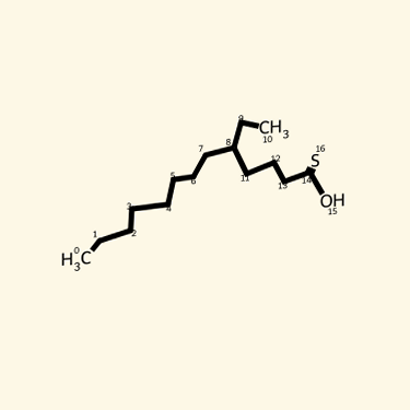 CCCCCCCCC(CC)CCCC(O)=S